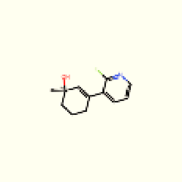 C[C@@]1(O)C=C(c2cccnc2F)CCC1